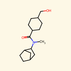 CN(C(=O)C1CCC(CO)CC1)C1CC2CCC1C2